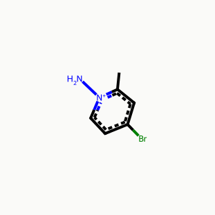 Cc1cc(Br)cc[n+]1N